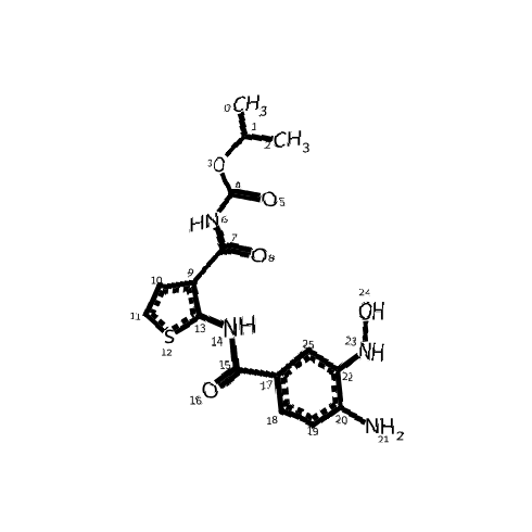 CC(C)OC(=O)NC(=O)c1ccsc1NC(=O)c1ccc(N)c(NO)c1